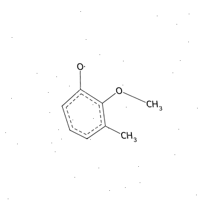 COc1c(C)cccc1[O]